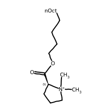 CCCCCCCCCCCCOC(=O)[C@@H]1CCC[N+]1(C)C